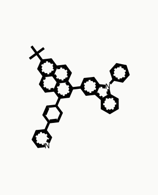 CC(C)(C)c1cc2ccc3c(-c4ccc5c(c4)c4ccccc4n5-c4ccccc4)cc(C4C=CC(c5cccnc5)=CC4)c4ccc(c1)c2c34